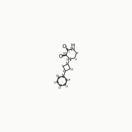 O=C1NCCN(C2CC(c3ccccc3)C2)C1=O